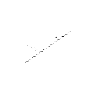 CCCC/C=C/CC(CCCCCCCCCC(CCCCCCCCC)OC(=O)CCCN(C)C)C(=O)O